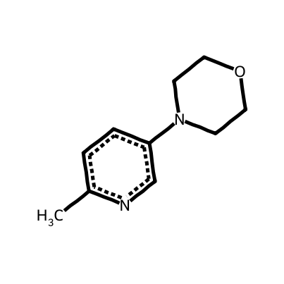 Cc1ccc(N2CCOCC2)cn1